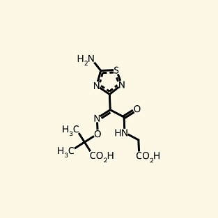 CC(C)(O/N=C(\C(=O)NCC(=O)O)c1nsc(N)n1)C(=O)O